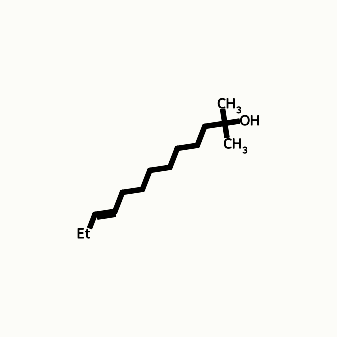 CCC=CCCCCCCCC(C)(C)O